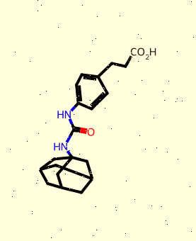 O=C(O)CCc1ccc(NC(=O)NC23CC4CC(CC(C4)C2)C3)cc1